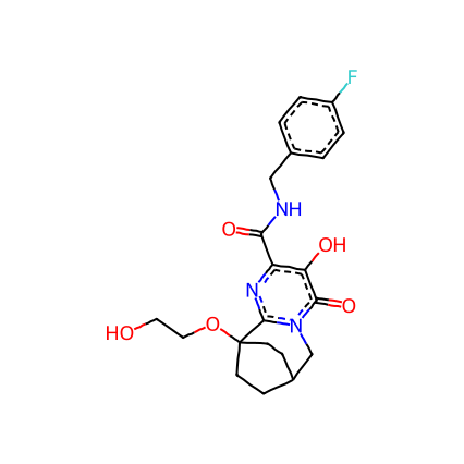 O=C(NCc1ccc(F)cc1)c1nc2n(c(=O)c1O)CC1CCC2(OCCO)CC1